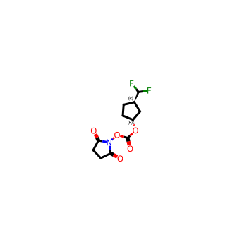 O=C(O[C@@H]1CC[C@@H](C(F)F)C1)ON1C(=O)CCC1=O